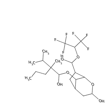 CCCC(C)(C(C)C)C(O)OC1C2CC(O)OC1C(C(O)OC(C(F)(F)F)C(F)(F)F)C2